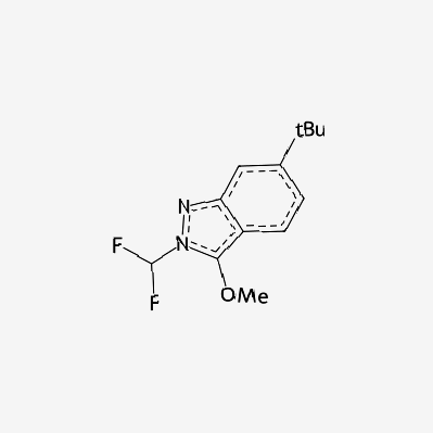 COc1c2ccc(C(C)(C)C)cc2nn1C(F)F